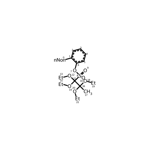 CCCCCCCCCc1ccccc1OS(=O)(=O)C(OCC)(OCC)C(C)(OCC)OCC